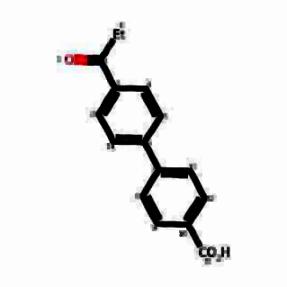 CCC(=O)c1ccc(-c2ccc(C(=O)O)cc2)cc1